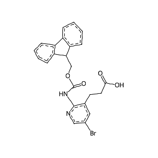 O=C(O)CCc1cc(Br)cnc1NC(=O)OCC1c2ccccc2-c2ccccc21